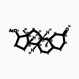 CC(=O)OC1CC[C@H]2[C@@H]3CCC4CCC(=O)C[C@]4(C)[C@@H]3CC[C@]12C